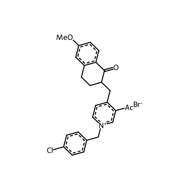 COc1ccc2c(c1)CCC(Cc1cc[n+](Cc3ccc(Cl)cc3)cc1C(C)=O)C2=O.[Br-]